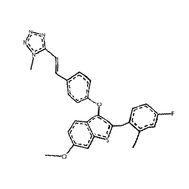 COc1ccc2c(Oc3ccc(C=Cc4nnnn4C)cc3)c(-c3ccc(F)cc3C)sc2c1